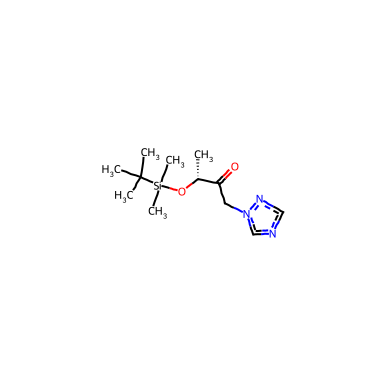 C[C@@H](O[Si](C)(C)C(C)(C)C)C(=O)Cn1cncn1